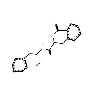 O=C1NC(C(=O)N[C@H](CO)Cc2ccccc2)Cc2ccccc21